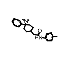 Cc1ccc(NC(=O)CC2CCC(c3ccccc3)(N(C)C)CC2)cc1